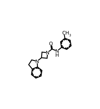 Cc1cccc(NC(=O)N2CC(N3CCc4ccccc43)C2)c1